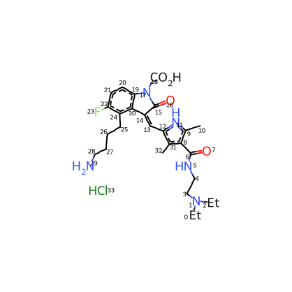 CCN(CC)CCNC(=O)c1c(C)[nH]c(C=C2C(=O)N(C(=O)O)c3ccc(F)c(CCCCN)c32)c1C.Cl